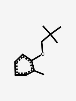 Cc1ccccc1OCC(C)(C)C